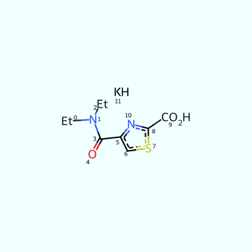 CCN(CC)C(=O)c1csc(C(=O)O)n1.[KH]